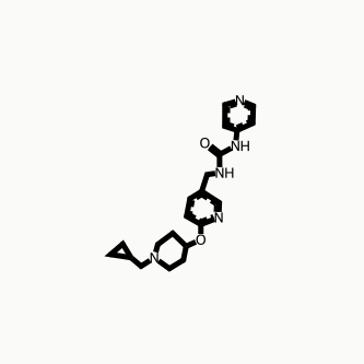 O=C(NCc1ccc(OC2CCN(CC3CC3)CC2)nc1)Nc1ccncc1